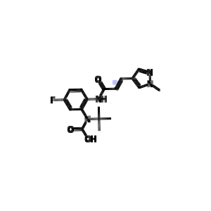 Cn1cc(/C=C/C(=O)Nc2ccc(F)cc2N(C(=O)O)C(C)(C)C)cn1